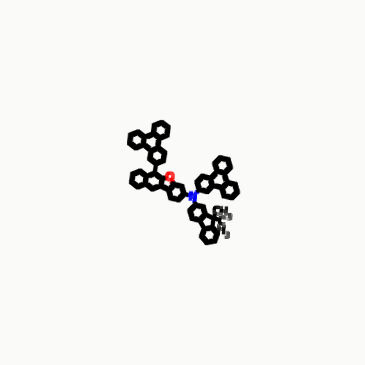 CC1(C)c2ccccc2-c2ccc(N(c3ccc4c(c3)oc3c(-c5ccc6c7ccccc7c7ccccc7c6c5)c5ccccc5cc34)c3ccc4c5ccccc5c5ccccc5c4c3)cc21